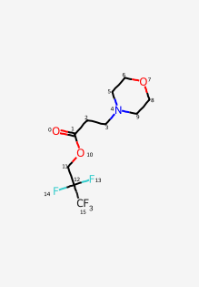 O=C(CCN1CCOCC1)OCC(F)(F)C(F)(F)F